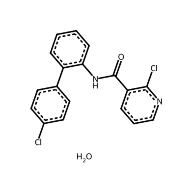 O.O=C(Nc1ccccc1-c1ccc(Cl)cc1)c1cccnc1Cl